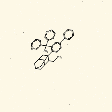 PCC1C2CC3CC(C2)CC1(c1ccc(-c2ccccc2)cc1C(P)(c1cccnc1)c1cccnc1)C3